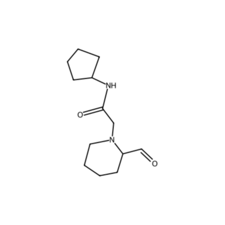 O=CC1CCCCN1CC(=O)NC1CCCC1